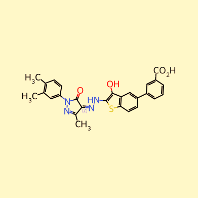 CC1=NN(c2ccc(C)c(C)c2)C(=O)/C1=N\Nc1sc2ccc(-c3cccc(C(=O)O)c3)cc2c1O